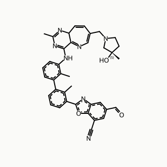 CC1=NC2C=CC(CN3CC[C@](C)(O)C3)=CN=C2C(Nc2cccc(-c3cccc(-c4nc5cc(C=O)cc(C#N)c5o4)c3C)c2C)=N1